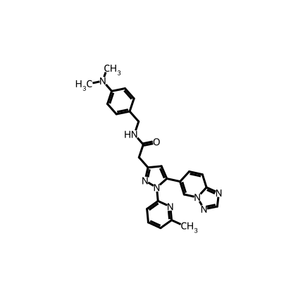 Cc1cccc(-n2nc(CC(=O)NCc3ccc(N(C)C)cc3)cc2-c2ccc3ncnn3c2)n1